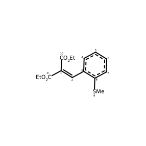 CCOC(=O)C(=Cc1ccccc1SC)C(=O)OCC